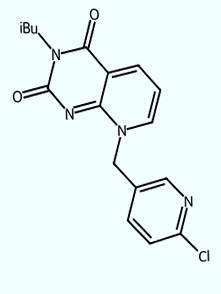 CCC(C)n1c(=O)nc2n(Cc3ccc(Cl)nc3)cccc-2c1=O